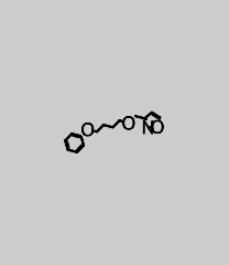 c1ccc(OCCCCOCc2ccon2)cc1